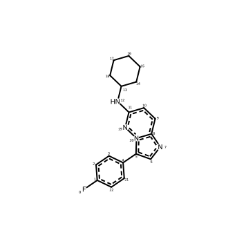 Fc1ccc(-c2cnc3ccc(NC4CCCCC4)nn23)cc1